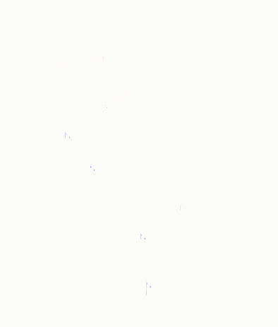 CCOC(=O)c1cn(C)c2nc3cc(N4CCNC(c5cccs5)C4)c(F)cc3cc2c1=O